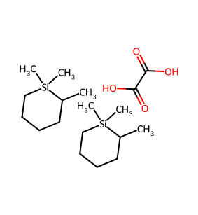 CC1CCCC[Si]1(C)C.CC1CCCC[Si]1(C)C.O=C(O)C(=O)O